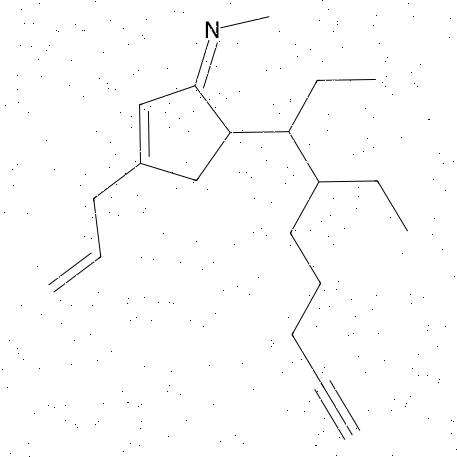 C#CCCCC(CC)C(CC)C1CC(CC=C)=C/C1=N/C